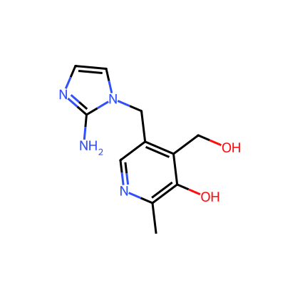 Cc1ncc(Cn2ccnc2N)c(CO)c1O